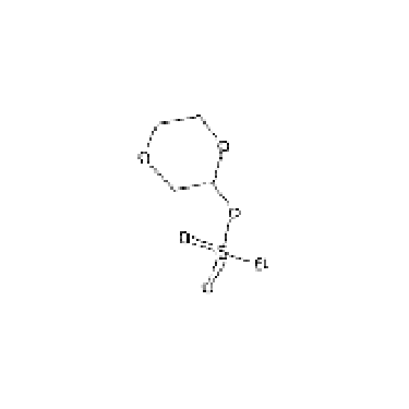 CCS(=O)(=O)OC1COCCO1